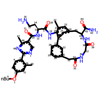 CCCCOc1ccc(-c2ncc(C(=O)N[C@@H](CCN)C(=O)Nc3c(C)cc4cc3-c3cccc(c3)CC(=O)NCC(=O)NC(C(N)=O)C4)c(C)n2)c(C)c1